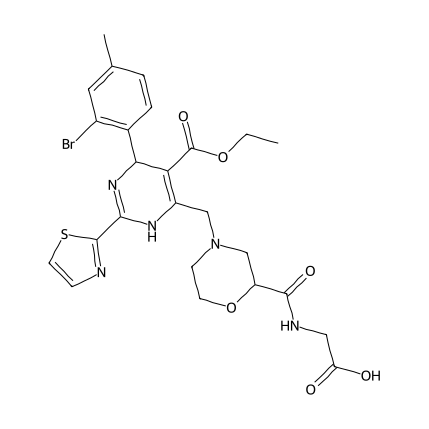 CCOC(=O)C1=C(CN2CCOC(C(=O)NCC(=O)O)C2)NC(c2nccs2)=NC1c1ccc(C)cc1Br